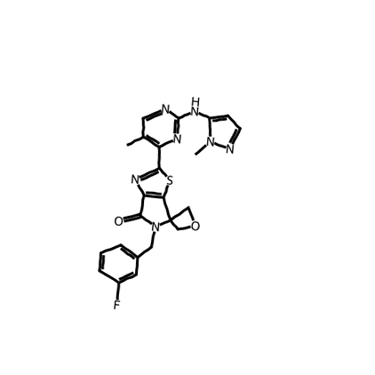 Cc1cnc(Nc2ccnn2C)nc1-c1nc2c(s1)C1(COC1)N(Cc1cccc(F)c1)C2=O